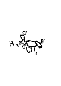 C[C@H]1Cc2ccc(Br)cc2C=NN1C(=O)N(C)c1ccc(Cl)cc1